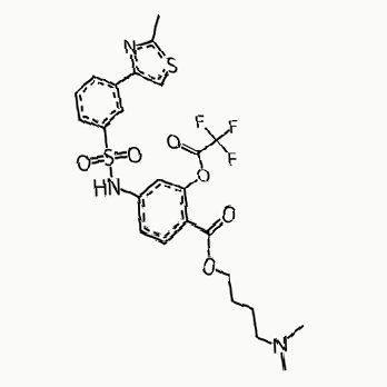 Cc1nc(-c2cccc(S(=O)(=O)Nc3ccc(C(=O)OCCCCN(C)C)c(OC(=O)C(F)(F)F)c3)c2)cs1